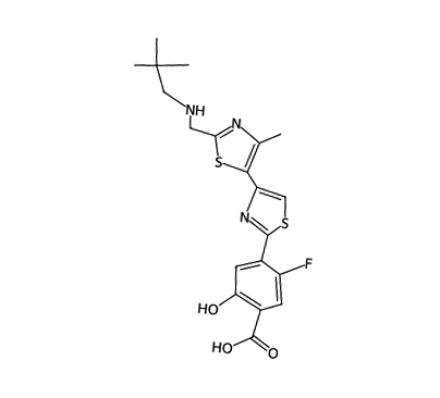 Cc1nc(CNCC(C)(C)C)sc1-c1csc(-c2cc(O)c(C(=O)O)cc2F)n1